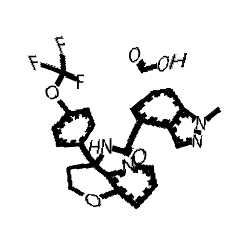 Cn1ncc2c(C(=O)NC3(c4ccc(OC(F)(F)F)cc4)CCOc4cccnc43)cccc21.O=CO